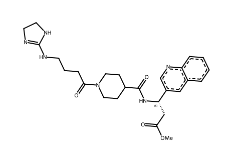 COC(=O)C[C@H](NC(=O)C1CCN(C(=O)CCCNC2=NCCN2)CC1)c1cnc2ccccc2c1